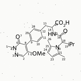 COc1cnn(C)c(=O)c1-c1ccc(CC(NC(=O)C(C(C)C)n2c(C)ccc2C)C(=O)O)cc1